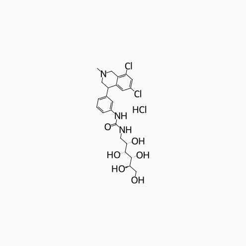 CN1Cc2c(Cl)cc(Cl)cc2C(c2cccc(NC(=O)NC[C@H](O)[C@@H](O)[C@H](O)[C@H](O)CO)c2)C1.Cl